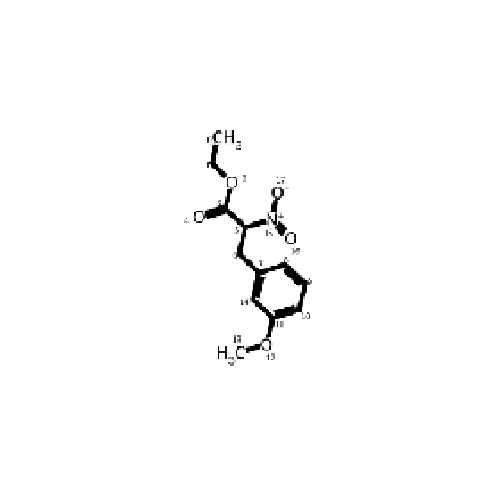 CCOC(=O)C(Cc1cccc(OC)c1)[N+](=O)[O-]